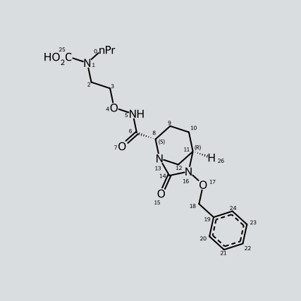 CCCN(CCONC(=O)[C@@H]1CC[C@@H]2CN1C(=O)N2OCc1ccccc1)C(=O)O